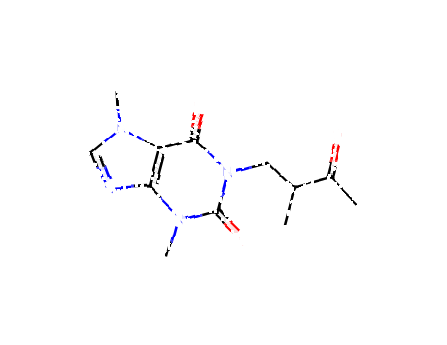 CC(=O)C(C)Cn1c(=O)c2c(ncn2C)n(C)c1=O